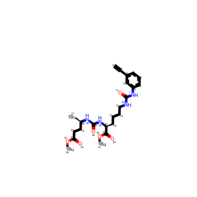 C#Cc1cccc(NC(=O)NCCCC[C@H](NC(=O)N[C@@H](CCC(=O)OC(C)(C)C)C(C)(C)C)C(=O)OC(C)(C)C)c1